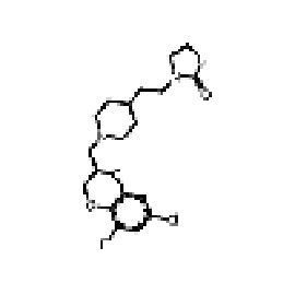 O=C1OCCN1CCC1CCN(CC2COc3c(F)cc(Cl)cc3O2)CC1